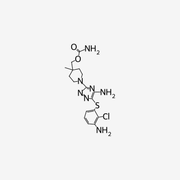 CC1(COC(N)=O)CCN(c2nnc(Sc3cccc(N)c3Cl)c(N)n2)CC1